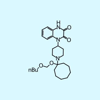 CCCCOCOC1(N2CCC(n3c(=O)c(=O)[nH]c4ccccc43)CC2)CCCCCCC1